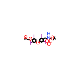 CC(C)(C)OC(=O)NC(Cc1c(I)cc(Oc2cc(I)c(OCC3CO3)c(I)c2)cc1I)OC=O